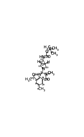 Cc1cc(C(C)O)c2nc(N3C[C@@H]4C(NC(=O)OC(C)(C)C)[C@@H]4C3)n(C)c(=O)c2c1